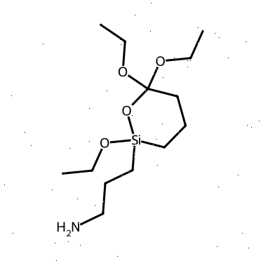 CCOC1(OCC)CCC[Si](CCCN)(OCC)O1